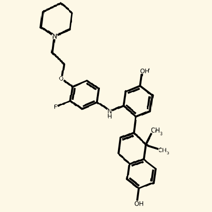 CC1(C)C(c2ccc(O)cc2Nc2ccc(OCCN3CCCCC3)c(F)c2)=CCc2cc(O)ccc21